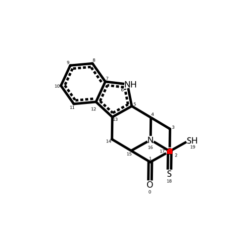 O=C1OCC2c3[nH]c4ccccc4c3CC1N2C(=S)S